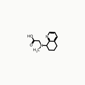 CN(CC(=O)O)C1CCCc2cccnc21